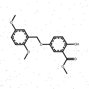 COC(=O)c1cc(OCc2cc(OC)ccc2OC)ccc1O